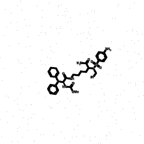 COC(=O)N[C@H](C(=O)NCCCCC(C(N)=O)N(CC(C)C)S(=O)(=O)c1ccc(N)cc1)C(C1=CCCC=C1)c1ccccc1